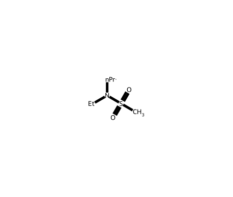 CC[CH]N(CC)S(C)(=O)=O